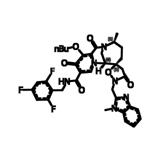 CCCCOc1c2n(cc(C(=O)NCc3c(F)cc(F)cc3F)c1=O)[C@@H]1CN(C2=O)[C@@H](C)CC[C@]12CC(=O)N(Cc1nc3ccccc3n1C)O2